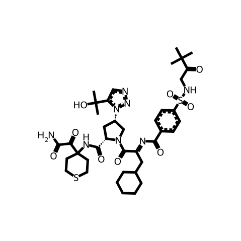 CC(C)(C)C(=O)CNS(=O)(=O)c1ccc(C(=O)/N=C(\CC2CCCCC2)C(=O)N2C[C@@H](n3nncc3C(C)(C)O)C[C@H]2C(=O)NC2(C(=O)C(N)=O)CCSCC2)cc1